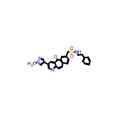 Cn1cc(-c2cnc3ccc4ccc(CS(=O)(=O)NCCc5ccccc5)cc4c(=O)c3c2)cn1